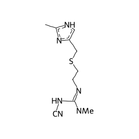 CN/C(=N/CCSCc1c[nH]c(C)n1)NC#N